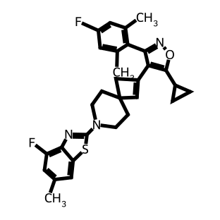 Cc1cc(F)c2nc(N3CCC4(C=C(c5c(-c6c(C)cc(F)cc6C)noc5C5CC5)C4)CC3)sc2c1